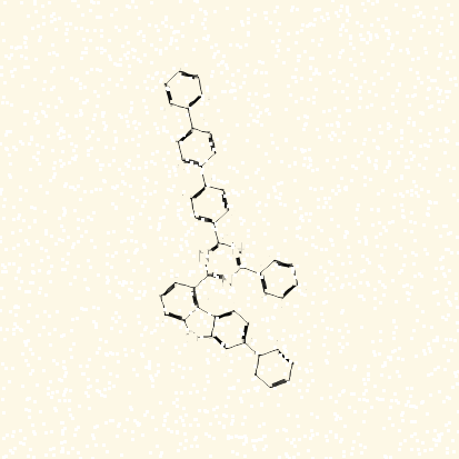 C1=CCC(c2ccc3c(c2)oc2cccc(-c4nc(-c5ccccc5)nc(-c5ccc(-c6ccc(-c7ccccc7)cc6)cc5)n4)c23)C=C1